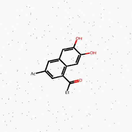 CCC(=O)c1cc(C(C)=O)cc2cc(O)c(O)cc12